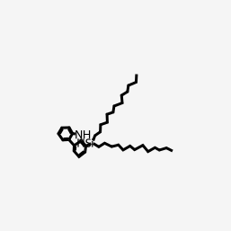 CCCCCCCCCCCCC[SiH](CCCCCCCCCCCCC)c1cccc2c1[nH]c1ccccc12